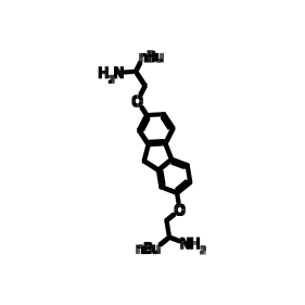 CCCCC(N)COc1ccc2c(c1)Cc1cc(OCC(N)CCCC)ccc1-2